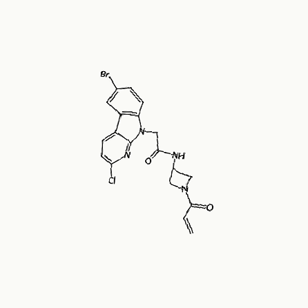 C=CC(=O)N1CC(NC(=O)Cn2c3ccc(Br)cc3c3ccc(Cl)nc32)C1